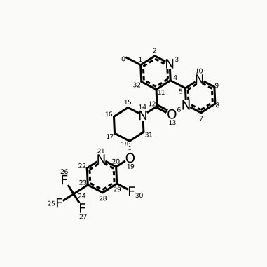 Cc1cnc(-c2ncccn2)c(C(=O)N2CCC[C@@H](Oc3ncc(C(F)(F)F)cc3F)C2)c1